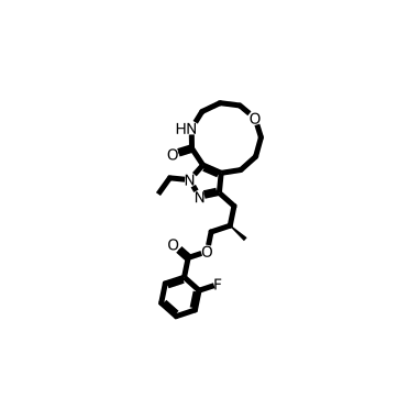 CCn1nc(C[C@@H](C)COC(=O)c2ccccc2F)c2c1C(=O)NCCCOCCC2